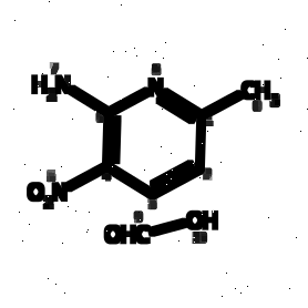 Cc1ccc([N+](=O)[O-])c(N)n1.O=CO